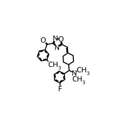 Cc1cccc(C(=O)c2noc(C=C3CCC(C(c4cccc(F)c4)N(C)C)CC3)n2)c1